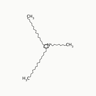 CCCCCCCCCCCCCCCCc1cc(CCCCCCCCCCCCCCCC)c[n+](CCCCCCCCC)c1